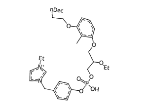 CCCCCCCCCCCCOc1cccc(OCC(COP(=O)(O)Oc2ccc(Cn3cc[n+](CC)c3)cc2)OCC)c1C